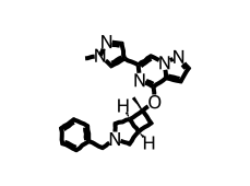 Cn1cc(-c2cn3nccc3c(O[C@]3(C)C[C@H]4CN(Cc5ccccc5)C[C@H]43)n2)cn1